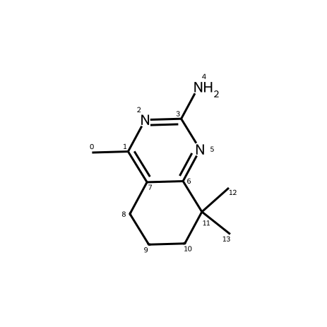 Cc1nc(N)nc2c1CCCC2(C)C